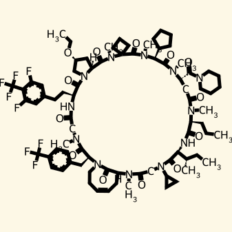 CCC[C@H]1C(=O)N[C@@H]([C@@H](C)CC)C(=O)N(C2CC2)CC(=O)N(C)[C@H]2C/C=C\CCN(C2=O)[C@@H](Cc2ccc(C(F)(F)F)cc2)C(=O)N(C)CC(=O)N[C@@H](CCc2cc(F)c(C(F)(F)F)c(F)c2)C(=O)N2C[C@H](OCC)C[C@H]2C(=O)N(C)C2(CCC2)C(=O)N(C)[C@@H](C2CCCC2)C(=O)N(C)[C@H](C(=O)N2CCCCC2)CC(=O)N1C